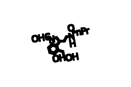 CCCC(=O)NCCC1CN(C=O)c2ccc(O)c(CCO)c21